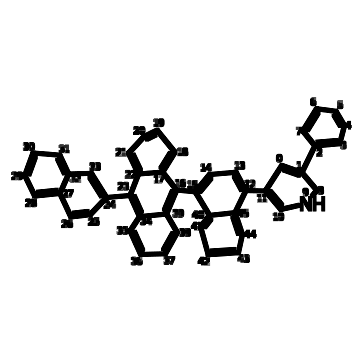 C1=C(c2ccccc2)CNC=C1c1ccc(-c2c3ccccc3c(-c3ccc4ccccc4c3)c3ccccc23)c2ccccc12